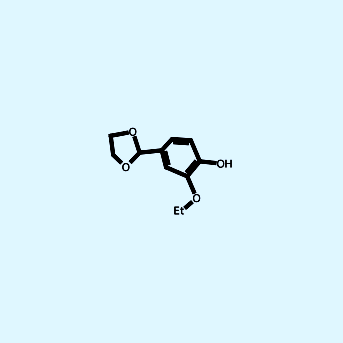 CCOc1cc(C2OCCO2)ccc1O